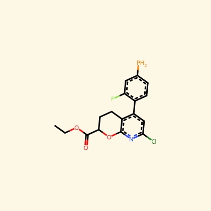 CCOC(=O)C1CCc2c(-c3ccc(P)cc3F)cc(Cl)nc2O1